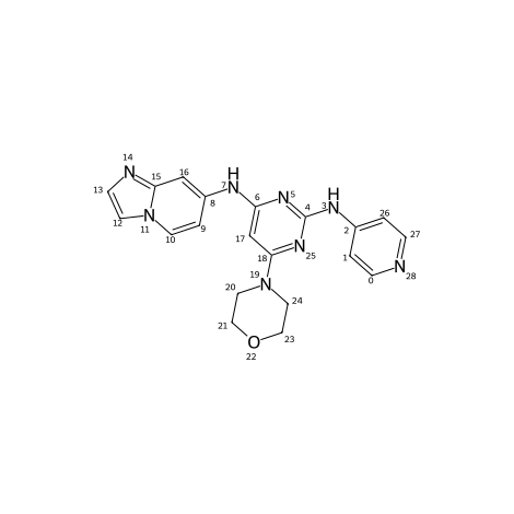 c1cc(Nc2nc(Nc3ccn4ccnc4c3)cc(N3CCOCC3)n2)ccn1